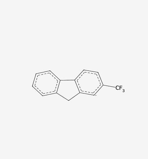 FC(F)(F)c1[c]c2c(cc1)-c1ccccc1C2